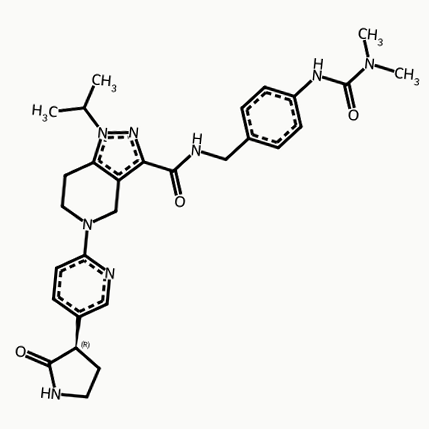 CC(C)n1nc(C(=O)NCc2ccc(NC(=O)N(C)C)cc2)c2c1CCN(c1ccc([C@H]3CCNC3=O)cn1)C2